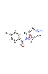 Cc1ccc(C(=O)N2CC3CNCC(C2)O3)cc1